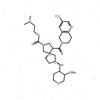 COC1COCCC1N[C@H]1CC[C@@]2(C1)CN(C(=O)OCCN(C)C)CC2C(=O)N1CCc2ncc(C(F)(F)F)cc2C1